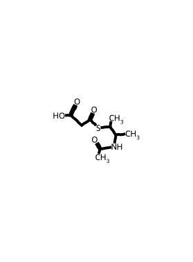 CC(=O)NC(C)C(C)SC(=O)CC(=O)O